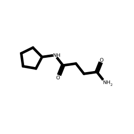 NC(=O)CCC(=O)NC1CCCC1